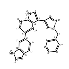 c1ccc(Cn2cc(-c3c[nH]c4ncc(-c5ccc6cn[nH]c6c5)nc34)cn2)cc1